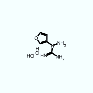 Cl.Cl.N=C(N)N(N)c1ccoc1